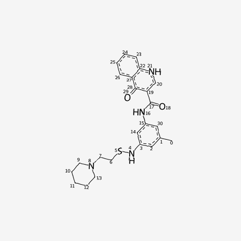 Cc1cc(NSCCN2CCCCC2)cc(NC(=O)c2c[nH]c3ccccc3c2=O)c1